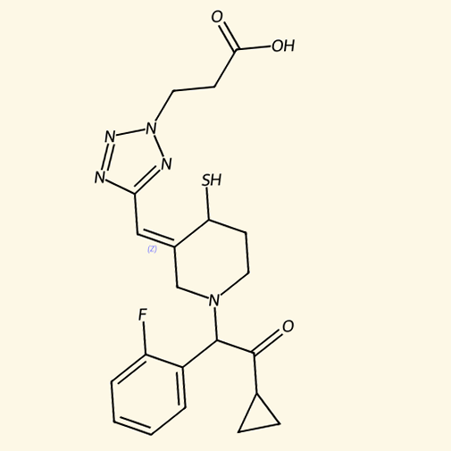 O=C(O)CCn1nnc(/C=C2/CN(C(C(=O)C3CC3)c3ccccc3F)CCC2S)n1